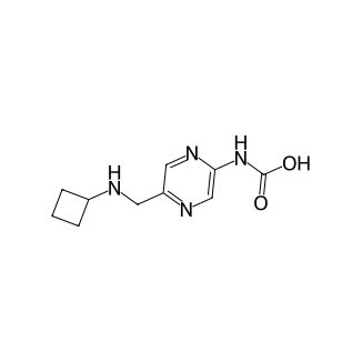 O=C(O)Nc1cnc(CNC2CCC2)cn1